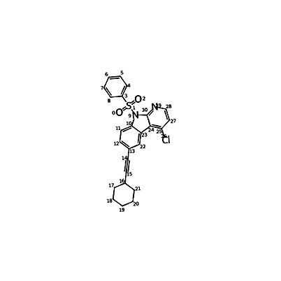 O=S(=O)(c1ccccc1)n1c2ccc(C#CC3CCCCC3)cc2c2c(Cl)ccnc21